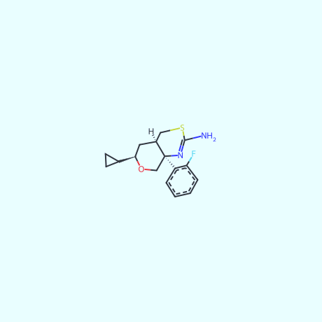 NC1=N[C@@]2(c3ccccc3F)CO[C@@H](C3CC3)C[C@H]2CS1